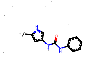 Cc1cc(NC(=O)Nc2ccccc2)c[nH]1